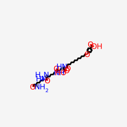 N[C@H]([C]=O)CCCCNC(=O)[C@@H](N)CCCCNC(=O)CC[C@H](NC(=O)CCCCCCCCCCCOc1ccc(C(=O)O)cc1)C(=O)O